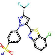 NS(=O)(=O)c1ccc(-n2nc(C(F)F)cc2-c2nc3cccc(Cl)c3s2)cc1